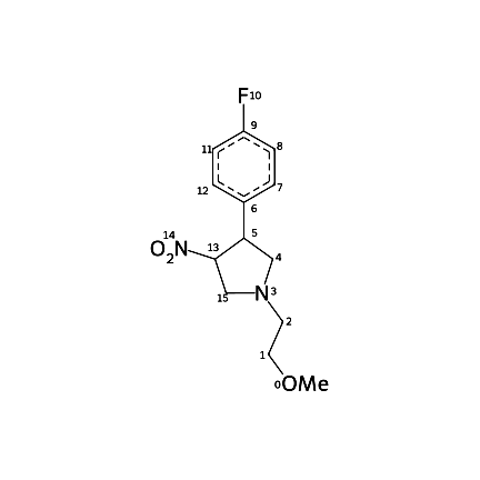 COCCN1CC(c2ccc(F)cc2)C([N+](=O)[O-])C1